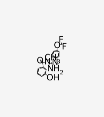 CN(C(=O)c1cccc(O)c1)/C(N)=N\c1ccc(OC(F)F)cc1